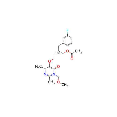 COCn1c(C)nc(C)c(OCC[C@@H](COC(C)=O)Cc2cccc(F)c2)c1=O